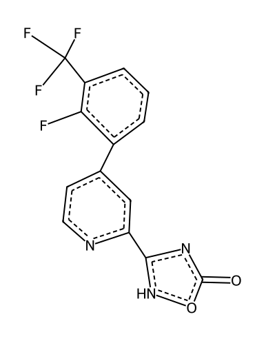 O=c1nc(-c2cc(-c3cccc(C(F)(F)F)c3F)ccn2)[nH]o1